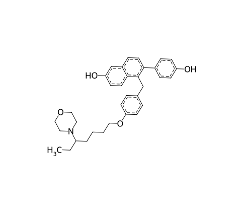 CCC(CCCCOc1ccc(Cc2c(-c3ccc(O)cc3)ccc3cc(O)ccc23)cc1)N1CCOCC1